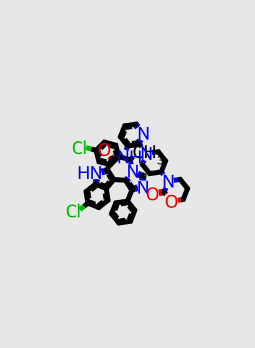 CC(c1ccc(Cl)cc1)n1cnc(-c2ccccc2)c1-c1c(C(=O)Nc2cccnc2N2CCC(N3CCCOC3=O)CC2)[nH]c2cc(Cl)ccc12